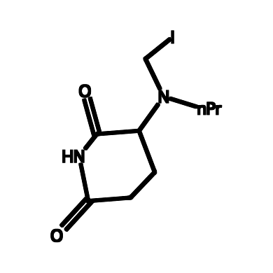 CCCN(CI)C1CCC(=O)NC1=O